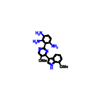 COc1cnc(-c2c(N)ccc(N)c2N)nc1-c1c[nH]c2c(OC)cccc12